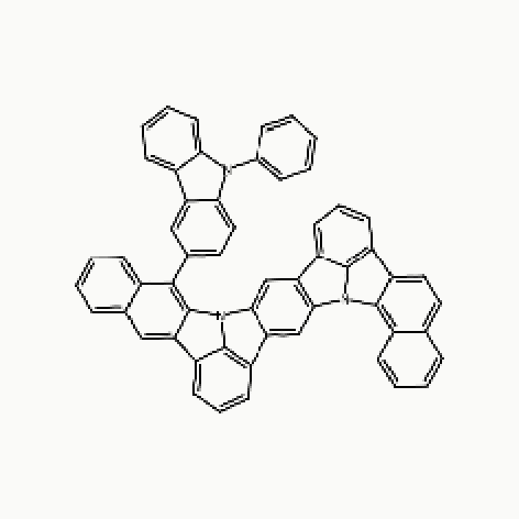 c1ccc(-n2c3ccccc3c3cc(-c4c5ccccc5cc5c6cccc7c8cc9c(cc8n(c45)c76)c4cccc5c6ccc7ccccc7c6n9c45)ccc32)cc1